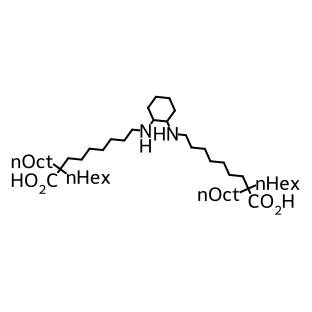 CCCCCCCCC(CCCCCC)(CCCCCCCNC1CCCCC1NCCCCCCCC(CCCCCC)(CCCCCCCC)C(=O)O)C(=O)O